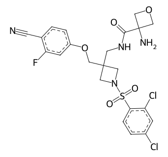 N#Cc1ccc(OCC2(CNC(=O)C3(N)COC3)CN(S(=O)(=O)c3ccc(Cl)cc3Cl)C2)cc1F